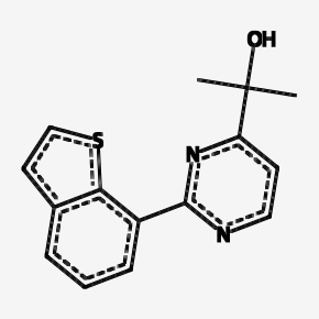 CC(C)(O)c1ccnc(-c2cccc3ccsc23)n1